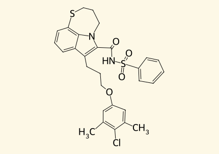 Cc1cc(OCCCc2c(C(=O)NS(=O)(=O)c3ccccc3)n3c4c(cccc24)SCCC3)cc(C)c1Cl